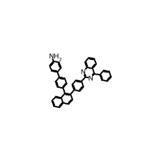 Nc1ccc(-c2ccc(-c3c(-c4ccc(-c5nc(-c6ccccc6)c6ccccc6n5)cc4)ccc4ccccc34)cc2)cc1